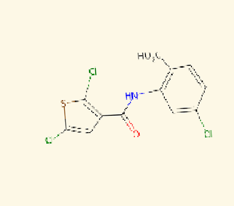 O=C(O)c1ccc(Cl)cc1NC(=O)c1cc(Cl)sc1Cl